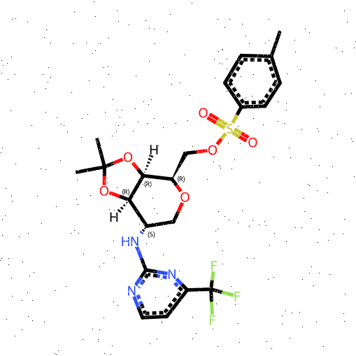 Cc1ccc(S(=O)(=O)OC[C@H]2OC[C@H](Nc3nccc(C(F)(F)F)n3)[C@H]3OC(C)(C)O[C@H]32)cc1